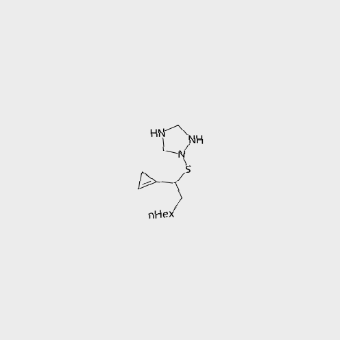 CCCCCCCC(SN1CNCN1)C1=CC1